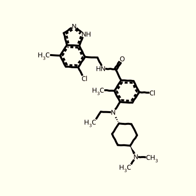 CCN(c1cc(Cl)cc(C(=O)NCc2c(Cl)cc(C)c3cn[nH]c23)c1C)[C@H]1CC[C@H](N(C)C)CC1